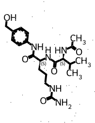 CC(=O)N[C@H](C(=O)N[C@@H](CCCNC(N)=O)C(=O)Nc1ccc(CO)cc1)C(C)C